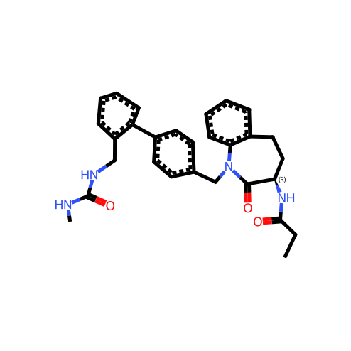 CCC(=O)N[C@@H]1CCc2ccccc2N(Cc2ccc(-c3ccccc3CNC(=O)NC)cc2)C1=O